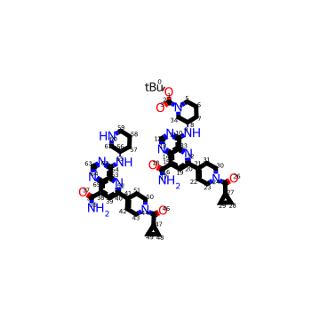 CC(C)(C)OC(=O)N1CCC[C@H](Nc2ncnc3c(C(N)=O)cc(C4=CCN(C(=O)C5CC5)CC4)nc23)C1.NC(=O)c1cc(C2=CCN(C(=O)C3CC3)CC2)nc2c(N[C@H]3CCCNC3)ncnc12